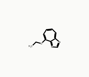 CCOc1ccccc2ncnc1-2